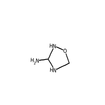 NC1NCON1